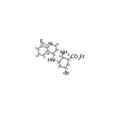 CCOC(=O)c1cc(Br)cc(Nc2ccnc3c(F)cccc23)c1N